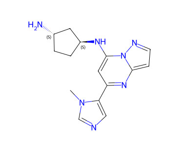 Cn1cncc1-c1cc(N[C@H]2CC[C@H](N)C2)n2nccc2n1